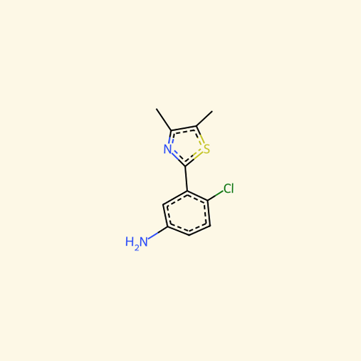 Cc1nc(-c2cc(N)ccc2Cl)sc1C